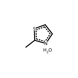 Cc1nccs1.O